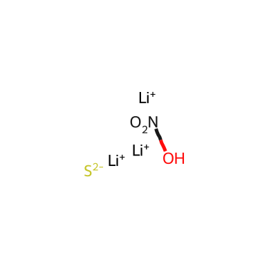 O=[N+]([O-])O.[Li+].[Li+].[Li+].[S-2]